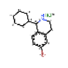 Brc1ccc2c(c1)CCNC2C1CCCCC1.Cl